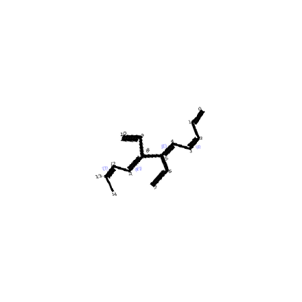 C=C\C=C/C=C(C=C)/C(C=C)=C/C=C\C